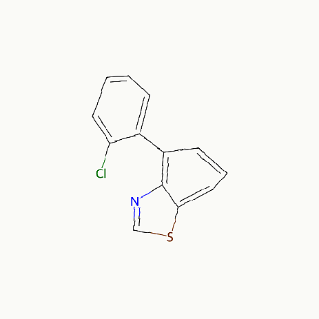 Clc1ccccc1-c1cccc2scnc12